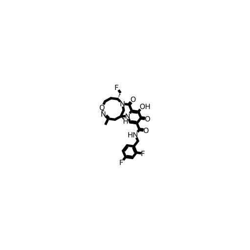 C/C1=N/OCC[C@H](CF)N2C[C@H](C1)n1cc(C(=O)NCc3ccc(F)cc3F)c(=O)c(O)c1C2=O